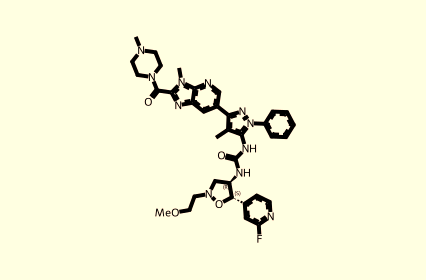 COCCN1C[C@@H](NC(=O)Nc2c(C)c(-c3cnc4c(c3)nc(C(=O)N3CCN(C)CC3)n4C)nn2-c2ccccc2)[C@H](c2ccnc(F)c2)O1